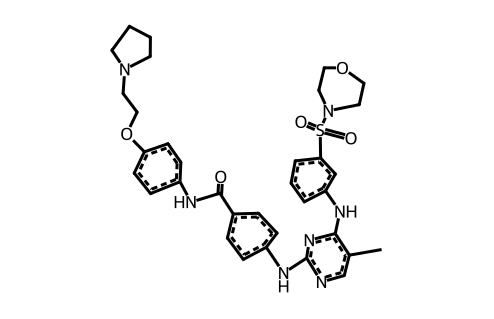 Cc1cnc(Nc2ccc(C(=O)Nc3ccc(OCCN4CCCC4)cc3)cc2)nc1Nc1cccc(S(=O)(=O)N2CCOCC2)c1